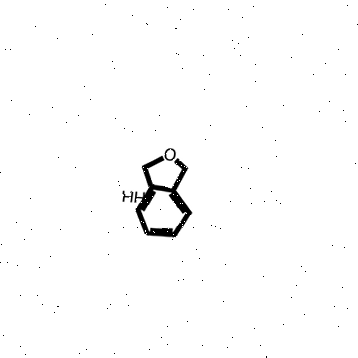 [HH].c1ccc2c(c1)COC2